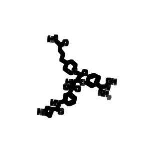 CNC(=O)CCCC1CCN(C(=O)[C@H](Cc2cccc(/C(N)=N\O)c2)NS(=O)(=O)c2cccc(NC(=O)C3CNC3)c2)CC1